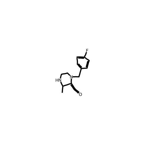 CC1NCCN(Cc2ccc(F)cc2)C1=C=O